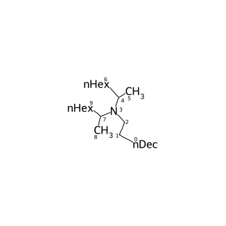 CCCCCCCCCCCCN(C(C)CCCCCC)C(C)CCCCCC